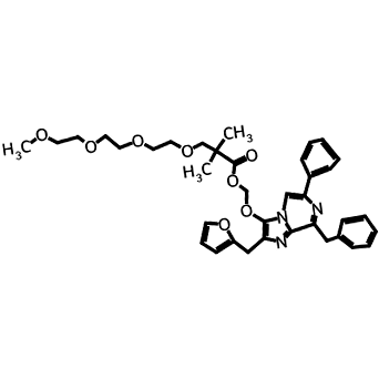 COCCOCCOCCOCC(C)(C)C(=O)OCOc1c(Cc2ccco2)nc2c(Cc3ccccc3)nc(-c3ccccc3)cn12